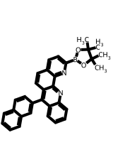 CC1(C)OB(c2ccc3ccc4c(-c5ccc6ccccc6c5)c5ccccc5nc4c3n2)OC1(C)C